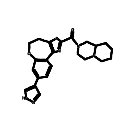 O=C(c1nc2c(s1)CCOc1cc(-c3cn[nH]c3)ccc1-2)N1CCN2CCCCC2C1